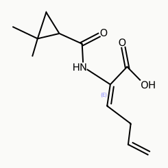 C=CC/C=C(/NC(=O)C1CC1(C)C)C(=O)O